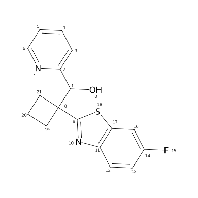 OC(c1ccccn1)C1(c2nc3ccc(F)cc3s2)CCC1